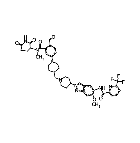 COc1cc2nn(C3CCN(CC4CCN(c5ccc(C=O)c(C(=O)N(C)C6CCC(=O)NC6=O)c5)CC4)CC3)cc2cc1NC(=O)c1cccc(C(F)(F)F)n1